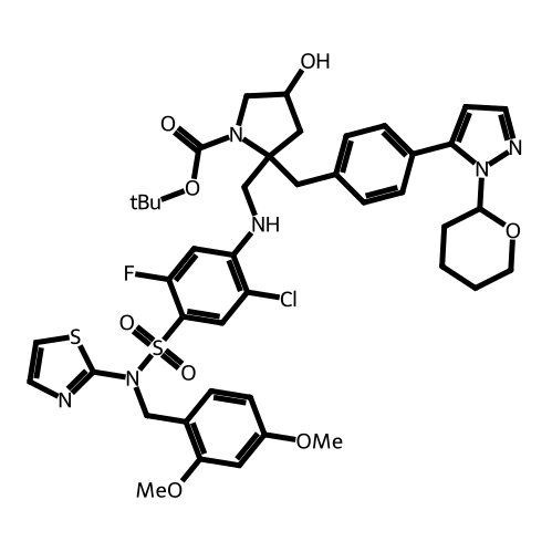 COc1ccc(CN(c2nccs2)S(=O)(=O)c2cc(Cl)c(NCC3(Cc4ccc(-c5ccnn5C5CCCCO5)cc4)CC(O)CN3C(=O)OC(C)(C)C)cc2F)c(OC)c1